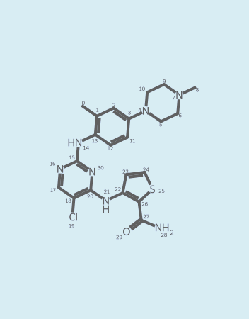 Cc1cc(N2CCN(C)CC2)ccc1Nc1ncc(Cl)c(Nc2ccsc2C(N)=O)n1